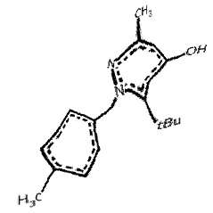 Cc1ccc(-n2nc(C)c(O)c2C(C)(C)C)cc1